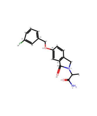 CC(C(N)=O)N1Cc2ccc(OCc3cccc(F)c3)cc2C1=O